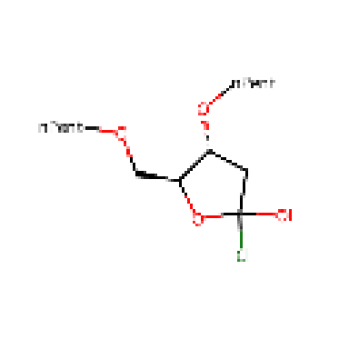 CCCCCOC[C@@H]1OC(O)(Cl)C[C@H]1OCCCCC